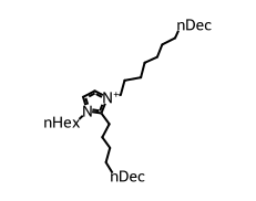 CCCCCCCCCCCCCCCCC[n+]1ccn(CCCCCC)c1CCCCCCCCCCCCCC